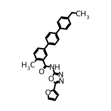 CCc1ccc(-c2ccc(-c3ccc(C)c(C(=O)Nc4nnc(-c5ccco5)o4)c3)cc2)cc1